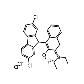 CC[Si](CC)=C1Cc2ccccc2C(C2c3cc(Cl)ccc3-c3ccc(Cl)cc32)=C1[O][Ti+2].[Cl-].[Cl-]